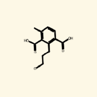 Cc1ccc(C(=O)O)c(CCCCl)c1C(=O)O